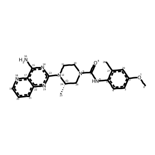 COc1ccc(NC(=O)N2CCN(c3nc(N)c4ncccc4n3)[C@@H](C)C2)c(C)c1